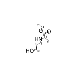 CCOC(=O)C(C)NCCCO